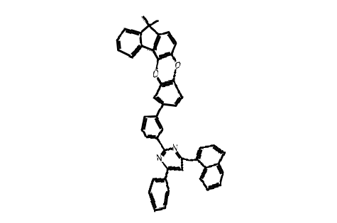 CC1(C)c2ccccc2-c2c1ccc1c2Oc2cc(-c3cccc(-c4nc(-c5ccccc5)cc(-c5cccc6ccccc56)n4)c3)ccc2O1